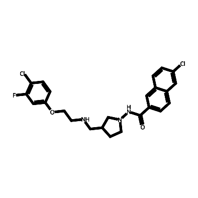 O=C(NN1CCC(CNCCOc2ccc(Cl)c(F)c2)C1)c1ccc2cc(Cl)ccc2c1